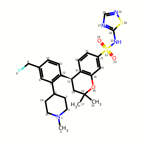 CN1CCC(c2cc(CF)ccc2[C@@H]2CC(C)(C)Oc3cc(S(=O)(=O)Nc4ncns4)ccc32)CC1